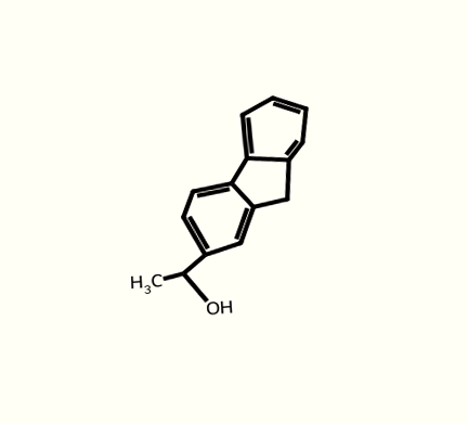 CC(O)c1ccc2c(c1)Cc1ccccc1-2